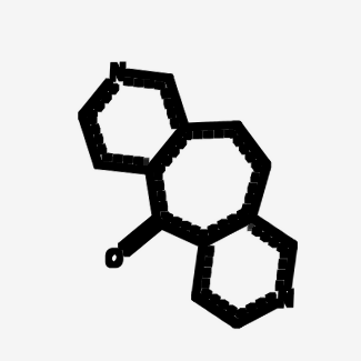 O=c1c2ccncc2ccc2cnccc12